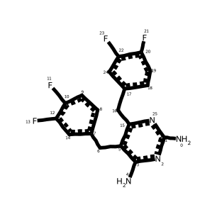 Nc1nc(N)c(Cc2ccc(F)c(F)c2)c(Cc2ccc(F)c(F)c2)n1